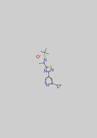 C/C(=N\[S@+]([O-])C(C)(C)C)c1nc(-c2ccnc(C3CC3)c2)ns1